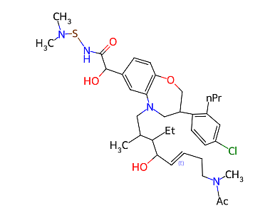 CCCc1cc(Cl)ccc1C1COc2ccc(C(O)C(=O)NSN(C)C)cc2N(CC(C)C(CC)C(O)/C=C/CCN(C)C(C)=O)C1